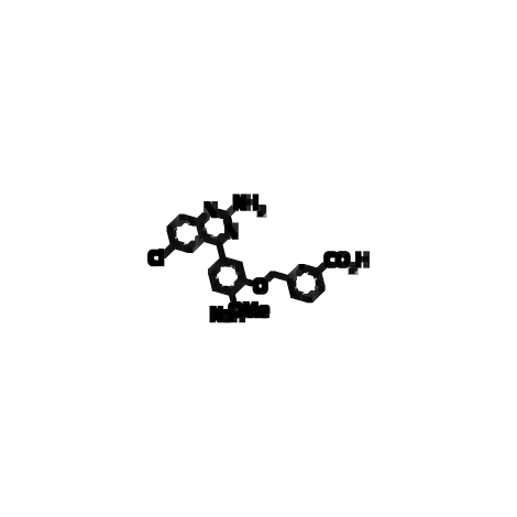 COc1ccc(-c2nc(N)nc3ccc(Cl)cc23)cc1OCc1cccc(C(=O)O)c1.[NaH]